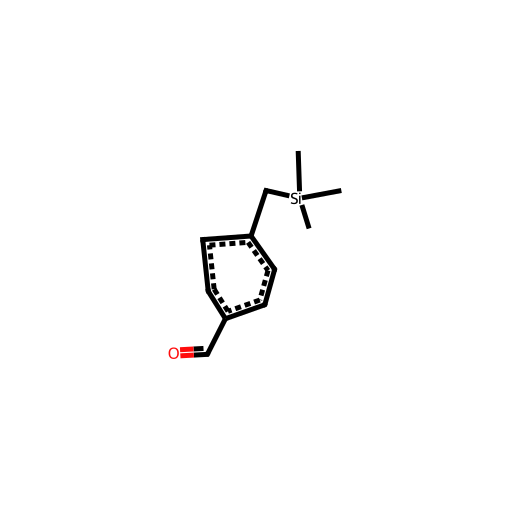 C[Si](C)(C)Cc1ccc(C=O)cc1